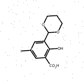 O=C(O)c1cc(I)cc(C2OCCCO2)c1O